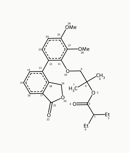 CCC(CC)C(=O)OC(C)(C)COc1c(-c2cccc3c2COC3=O)ccc(OC)c1OC